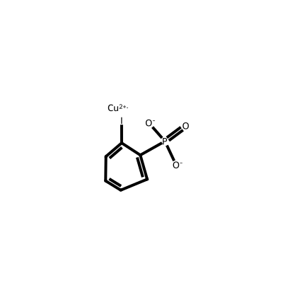 O=P([O-])([O-])c1ccccc1I.[Cu+2]